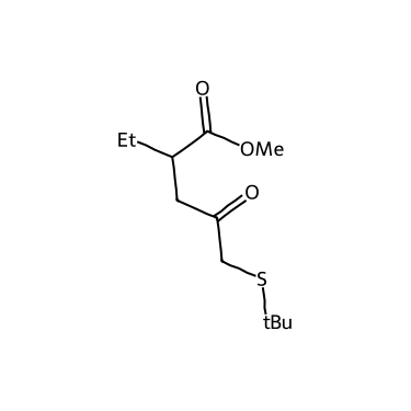 CCC(CC(=O)CSC(C)(C)C)C(=O)OC